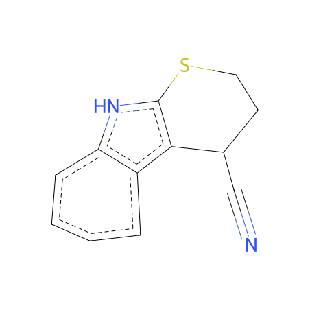 N#CC1CCSc2[nH]c3ccccc3c21